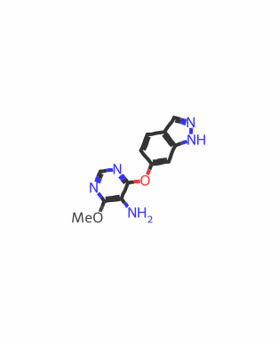 COc1ncnc(Oc2ccc3cn[nH]c3c2)c1N